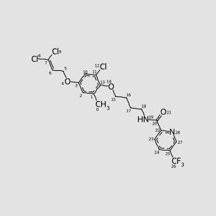 Cc1cc(OCC=C(Cl)Cl)cc(Cl)c1OCCCCNC(=O)c1ccc(C(F)(F)F)cn1